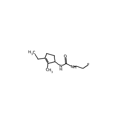 CCC1=C(C)C(NC(=O)NCCF)CC1